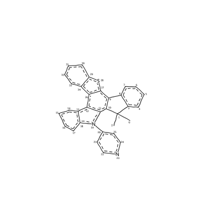 CC1(C)c2ccccc2-c2c1c1c(c3ccccc3n1-c1ccncc1)c1c2sc2ccccc21